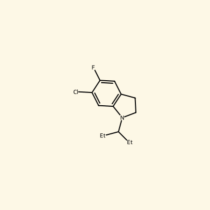 CCC(CC)N1CCc2cc(F)c(Cl)cc21